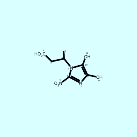 CC(CC(=O)O)n1c([N+](=O)[O-])nc(O)c1O